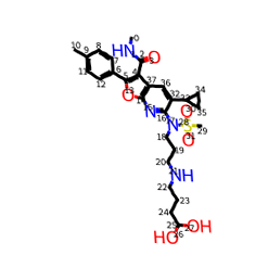 CNC(=O)c1c(-c2ccc(C)cc2)oc2nc(N(CCCNCCCC(O)O)S(C)(=O)=O)c(C3CC3)cc12